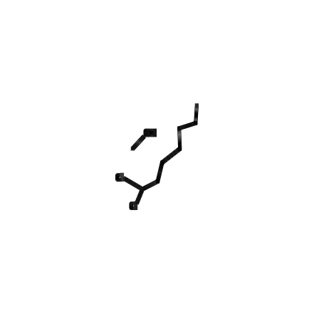 CCCCCCC(Cl)Cl.CO